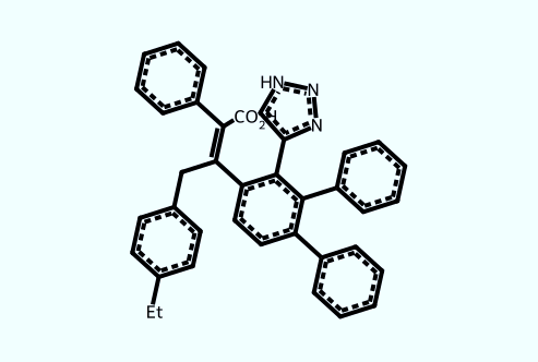 CCc1ccc(CC(=C(C(=O)O)c2ccccc2)c2ccc(-c3ccccc3)c(-c3ccccc3)c2-c2c[nH]nn2)cc1